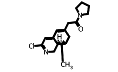 CC1CC2CC(CC(=O)N3CCCC3)=CC3=CC(Cl)=NCC32N1